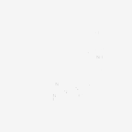 CC(C)n1c(=O)c(-c2cc(F)c(NS(=O)(=O)CCC(F)(F)F)c(F)c2F)cc2cnc(N[C@H]3CC[C@@H](C)CC3)nc21